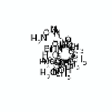 CC[C@@H]1OC(=O)[C@H](C)C(=O)[C@H](C)[C@@H](O[C@@H]2O[C@H](C)CC(N(C)C)C2O)[C@](C)(OC)C[C@@H](C)CN[C@H](Cc2cccc(Br)c2)[C@H]2N(CCCCn3cc(-c4cccc(N)c4)nn3)C(=O)O[C@]12C